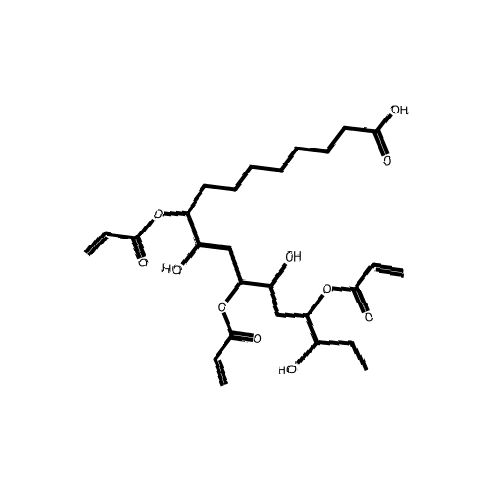 C=CC(=O)OC(CCCCCCCC(=O)O)C(O)CC(OC(=O)C=C)C(O)CC(OC(=O)C=C)C(O)CC